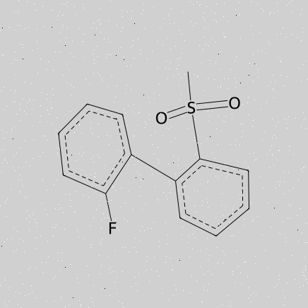 CS(=O)(=O)c1ccccc1-c1ccccc1F